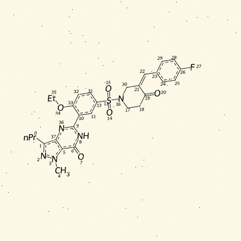 CCCc1nn(C)c2c(=O)[nH]c(-c3cc(S(=O)(=O)N4CCC(=O)/C(=C\c5ccc(F)cc5)C4)ccc3OCC)nc12